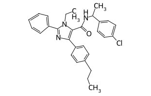 CCCc1ccc(-c2nc(-c3ccccc3)n(CC)c2C(=O)NC(C)c2ccc(Cl)cc2)cc1